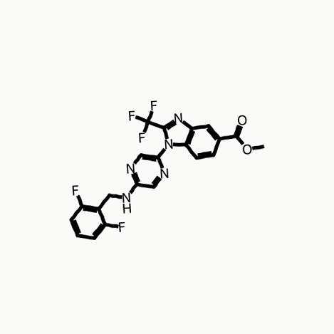 COC(=O)c1ccc2c(c1)nc(C(F)(F)F)n2-c1cnc(NCc2c(F)cccc2F)cn1